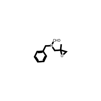 CC1(CN(C=O)Cc2ccccc2)CO1